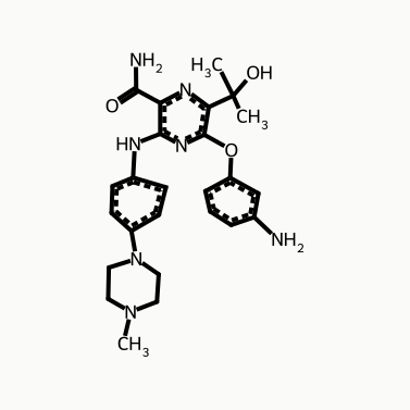 CN1CCN(c2ccc(Nc3nc(Oc4cccc(N)c4)c(C(C)(C)O)nc3C(N)=O)cc2)CC1